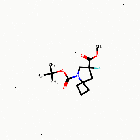 COC(=O)C1(F)CN(C(=O)OC(C)(C)C)C2(CCC2)C1